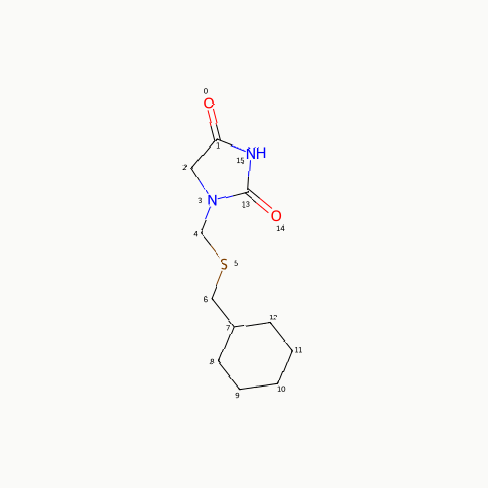 O=C1CN(CSCC2CCCCC2)C(=O)N1